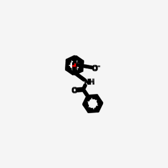 O=C(NC1c2ccc(cc2)N[S+]1[O-])c1ccccc1